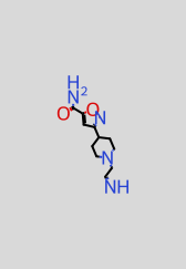 N=CCN1CCC(c2cc(C(N)=O)on2)CC1